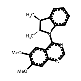 COc1cc2ncnc(N3c4ccccc4[C@H](C)[C@H]3C)c2cc1OC